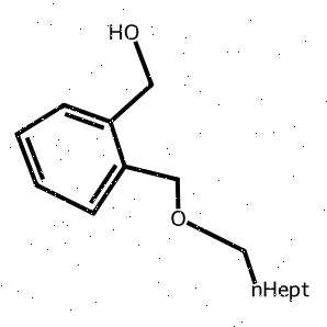 CCCCCCCCOCc1ccccc1CO